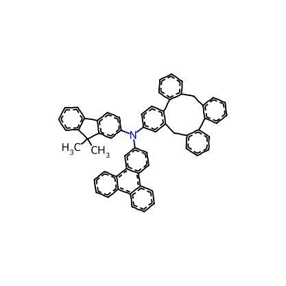 CC1(C)c2ccccc2-c2ccc(N(c3ccc4c(c3)Cc3ccccc3-c3ccccc3Cc3ccccc3-4)c3ccc4c5ccccc5c5ccccc5c4c3)cc21